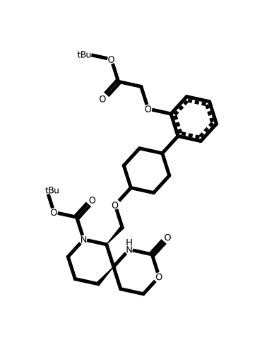 CC(C)(C)OC(=O)COc1ccccc1C1CCC(OC[C@@H]2N(C(=O)OC(C)(C)C)CCC[C@@]23CCOC(=O)N3)CC1